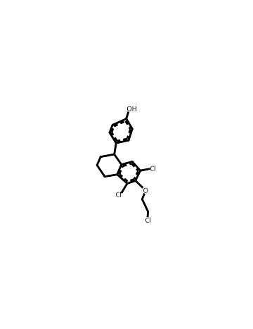 Oc1ccc(C2CCCc3c2cc(Cl)c(OCCCl)c3Cl)cc1